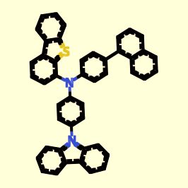 c1ccc2c(-c3ccc(N(c4ccc(-n5c6ccccc6c6ccccc65)cc4)c4cccc5c4sc4ccccc45)cc3)cccc2c1